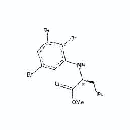 COC(=O)[C@H](CC(C)C)Nc1cc(Br)cc(Br)[n+]1[O-]